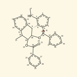 CPc1cccc(C)c1[C@H]1c2ccccc2C(C)C(OC(=O)c2ccccc2)C1OC(=O)c1ccccc1